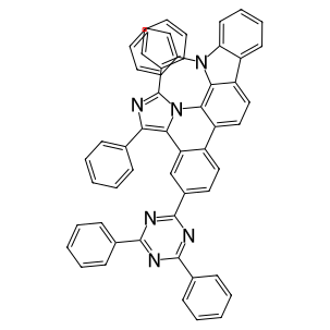 c1ccc(-c2nc(-c3ccccc3)nc(-c3ccc4c(c3)c3c(-c5ccccc5)nc(-c5ccccc5)n3c3c4ccc4c5ccccc5n(-c5ccccc5)c43)n2)cc1